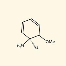 CC[C@]1(N)C=CC=CC1OC